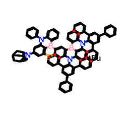 CC(C)(C)c1cc2c3c(c1)N(c1c(-c4ccccc4)cc(-c4ccccc4)cc1-c1ccccc1)c1cc4c(cc1B3c1ccccc1N2c1c(-c2ccccc2)cc(-c2ccccc2)cc1-c1ccccc1)B1c2ccccc2N(c2ccccc2)c2cc(N3C5CC6CC(C5)C3C6)cc(c21)S4